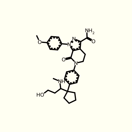 CNC(CCO)C1(c2ccc(N3CCc4c(C(N)=O)nn(-c5ccc(OC)cc5)c4C3=O)cc2)CCCC1